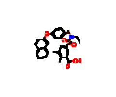 CCN(Sc1ccc(Oc2ccc3ccccc3c2)cc1)S(=O)(=O)c1cc(C)c(C)c(C(=O)O)c1